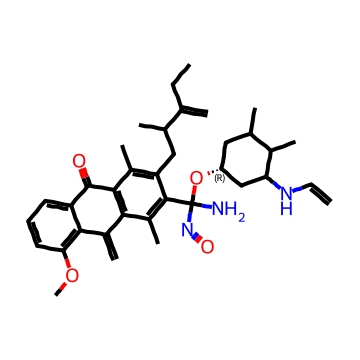 C=CNC1C[C@H](OC(N)(N=O)c2c(C)c3c(c(C)c2CC(C)C(=C)CC)C(=O)c2cccc(OC)c2C3=C)CC(C)C1C